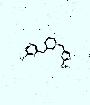 CC(=O)Nc1ncc(CN2CCCC(Cc3cncc(C(F)(F)F)n3)C2)s1